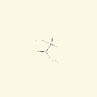 COC(O)C(C)(Br)[N+](=O)[O-]